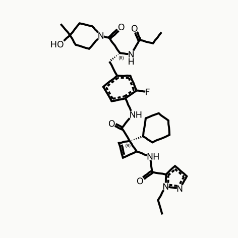 CCC(=O)N[C@H](Cc1ccc(NC(=O)[C@]2(C3CCCCC3)C=CC2NC(=O)c2ccnn2CC)c(F)c1)C(=O)N1CCC(C)(O)CC1